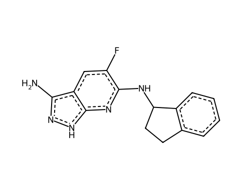 Nc1n[nH]c2nc(NC3CCc4ccccc43)c(F)cc12